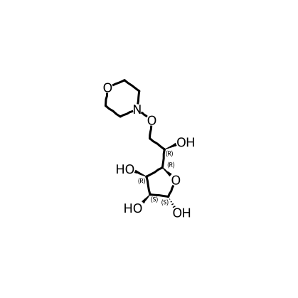 O[C@@H]1[C@H](O)[C@@H](O)O[C@@H]1[C@H](O)CON1CCOCC1